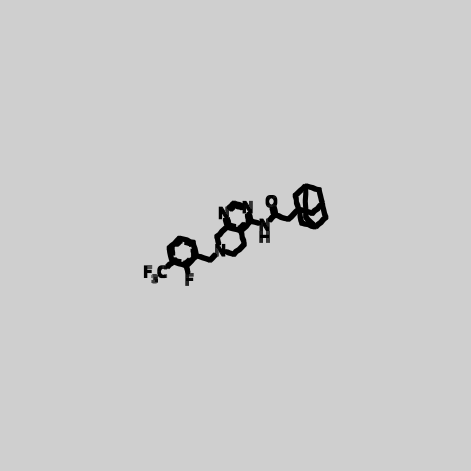 O=C(CC12CC3CC(CC(C3)C1)C2)Nc1ncnc2c1CCN(Cc1cccc(C(F)(F)F)c1F)C2